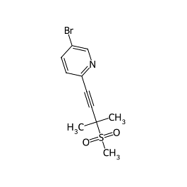 CC(C)(C#Cc1ccc(Br)cn1)S(C)(=O)=O